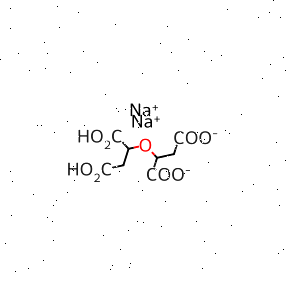 O=C([O-])CC(OC(CC(=O)O)C(=O)O)C(=O)[O-].[Na+].[Na+]